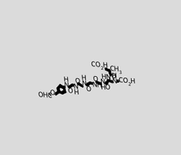 CC(CC(=O)O)C(=O)NC(CNCC(=O)O)C(=O)NCC(=O)NCC(=O)NCC(=O)NCC(=O)Nc1ccc(COC=O)cc1